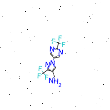 NCc1cn(-c2cnc(C(F)(F)F)nc2)nc1C(F)(F)F